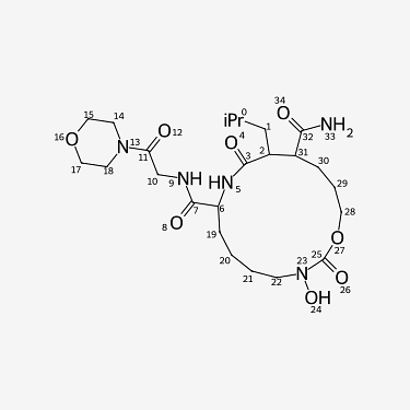 CC(C)CC1C(=O)NC(C(=O)NCC(=O)N2CCOCC2)CCCCN(O)C(=O)OCCCC1C(N)=O